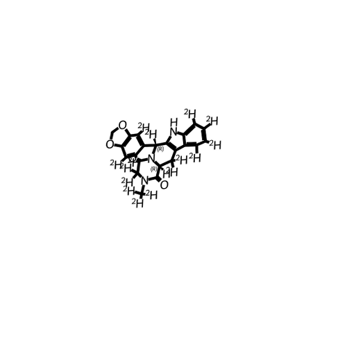 [2H]c1c([2H])c([C@]2([2H])c3[nH]c4c([2H])c([2H])c([2H])c([2H])c4c3C([2H])([2H])[C@@H]3C(=O)N(C([2H])([2H])[2H])C([2H])([2H])C(=O)N32)c([2H])c2c1OCO2